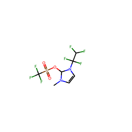 CN1C=CN(C(F)(F)C(F)F)C1OS(=O)(=O)C(F)(F)F